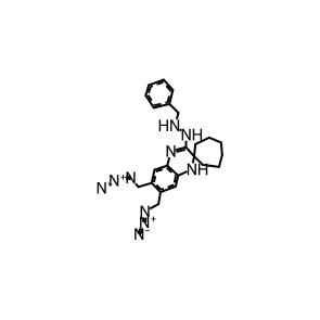 [N-]=[N+]=NCc1cc2c(cc1CN=[N+]=[N-])NC1(CCCCCC1)C(NNCc1ccccc1)=N2